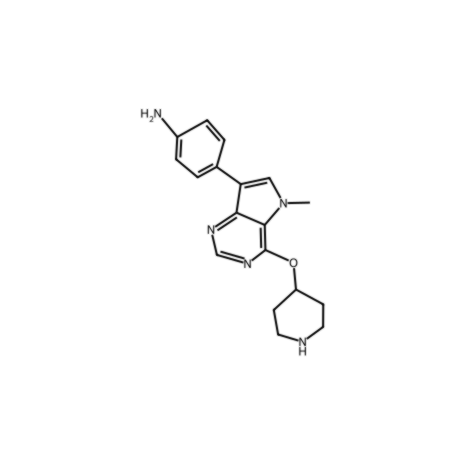 Cn1cc(-c2ccc(N)cc2)c2ncnc(OC3CCNCC3)c21